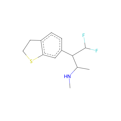 CNC(C)C(c1ccc2c(c1)SCC2)C(F)F